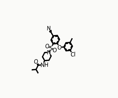 Cc1cc(Cl)cc(Oc2ccc(C#N)cc2S(=O)(=O)N2CCC(NC(=O)C(C)C)CC2)c1